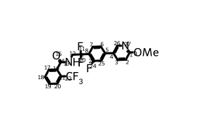 COc1ccc(-c2ccc(C(F)(F)CNC(=O)c3ccccc3C(F)(F)F)c(F)c2)cn1